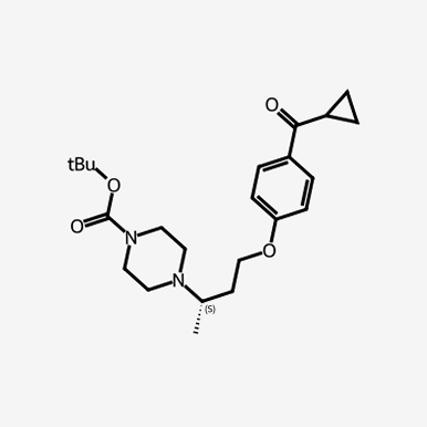 C[C@@H](CCOc1ccc(C(=O)C2CC2)cc1)N1CCN(C(=O)OC(C)(C)C)CC1